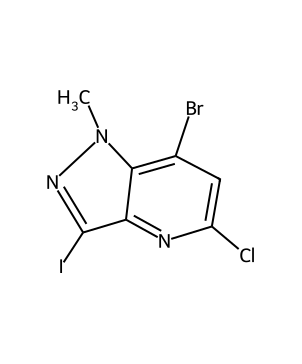 Cn1nc(I)c2nc(Cl)cc(Br)c21